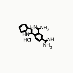 Cl.N=C(N)c1ccc(-c2cc3ccccc3[nH]2)c(C(=N)N)c1